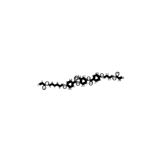 C=CC(=O)OCCCCCCOc1ccc(C(=O)Oc2ccc(OC(=O)c3ccc(OCCCCOC(=O)C=C)cc3)cc2Cl)cc1